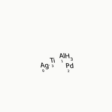 [Ag].[AlH3].[Pd].[Ti]